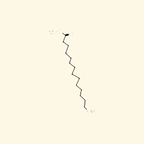 COC(=O)CCCCCCCCCCCCCO